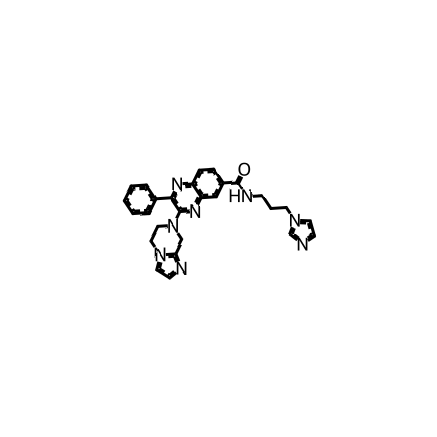 O=C(NCCCn1ccnc1)c1ccc2nc(-c3ccccc3)c(N3CCn4ccnc4C3)nc2c1